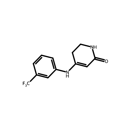 O=C1C=C(Nc2cccc(C(F)(F)F)c2)CCN1